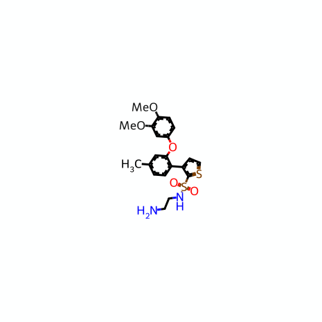 COc1ccc(Oc2cc(C)ccc2-c2ccsc2S(=O)(=O)NCCN)cc1OC